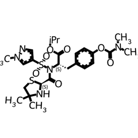 CC(C)OC(=O)[C@H](Cc1ccc(OC(=O)N(C)C)cc1)N(C(=O)[C@H]1NC(C)(C)CS1)S(=O)(=O)c1cnn(C)c1